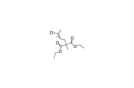 CCOC(=O)C(C)(C/C=C(\C)Cl)C(=O)OCC